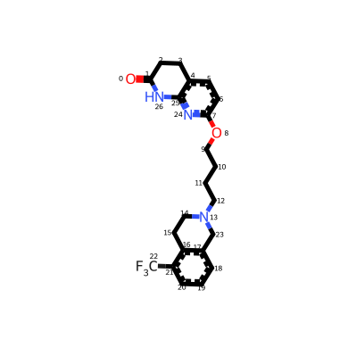 O=C1CCc2ccc(OCCCCN3CCc4c(cccc4C(F)(F)F)C3)nc2N1